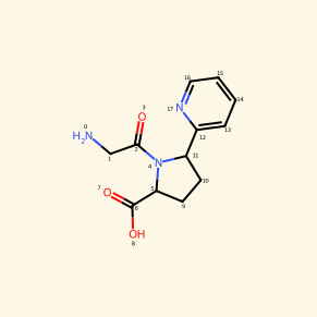 NCC(=O)N1C(C(=O)O)CCC1c1ccccn1